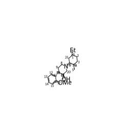 CC[C@@H]1CC[C@@H](C)[C@H](N2CC[C@@H](c3ccccc3OC)[C@H](O)C2)C1